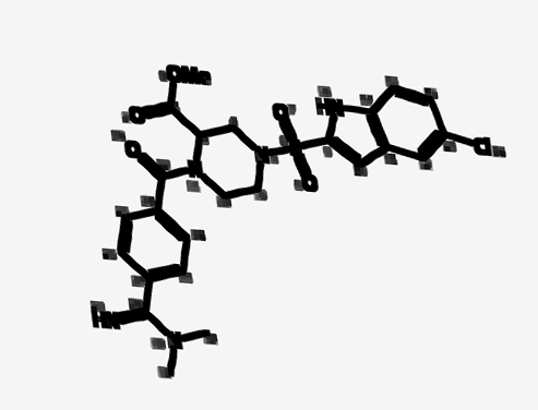 COC(=O)C1CN(S(=O)(=O)c2cc3cc(Cl)ccc3[nH]2)CCN1C(=O)c1ccc(C(=N)N(C)C)cc1